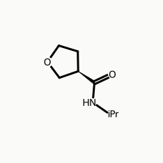 CC(C)NC(=O)[C@@H]1CCOC1